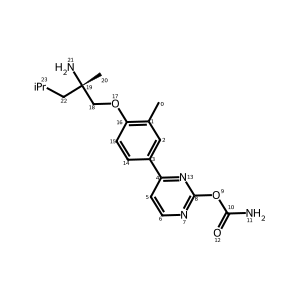 Cc1cc(-c2ccnc(OC(N)=O)n2)ccc1OC[C@@](C)(N)CC(C)C